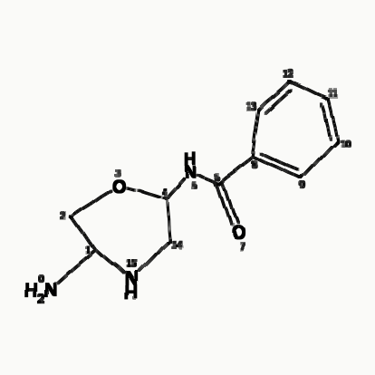 NC1COC(NC(=O)c2ccccc2)CN1